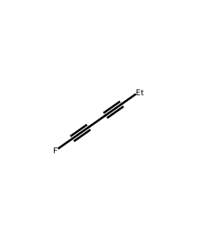 CCC#CC#CF